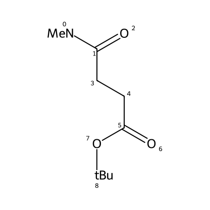 CNC(=O)CCC(=O)OC(C)(C)C